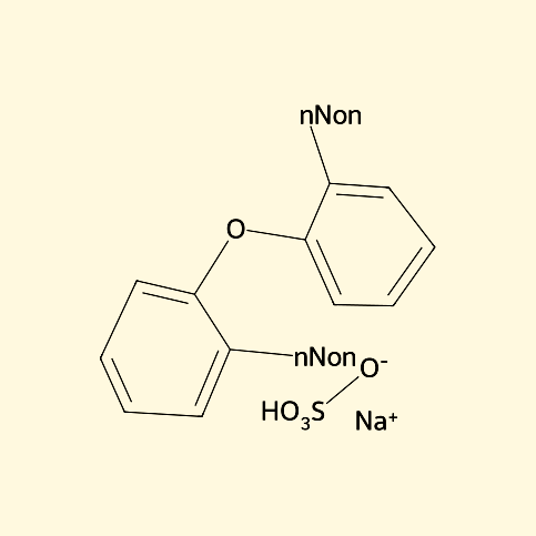 CCCCCCCCCc1ccccc1Oc1ccccc1CCCCCCCCC.O=S(=O)([O-])O.[Na+]